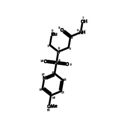 CCC(C)CN(CC(=O)NO)S(=O)(=O)c1ccc(OC)cn1